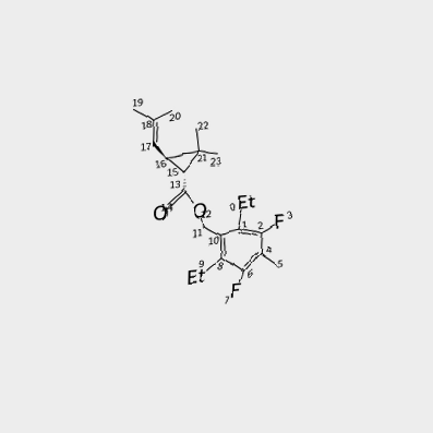 CCc1c(F)c(C)c(F)c(CC)c1COC(=O)[C@@H]1[C@@H](C=C(C)C)C1(C)C